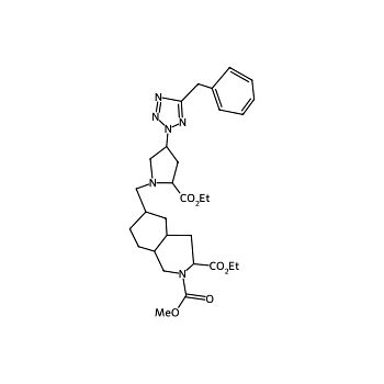 CCOC(=O)C1CC(n2nnc(Cc3ccccc3)n2)CN1CC1CCC2CN(C(=O)OC)C(C(=O)OCC)CC2C1